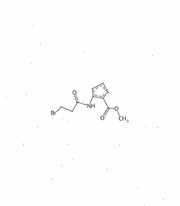 COC(=O)c1sccc1NC(=O)CCBr